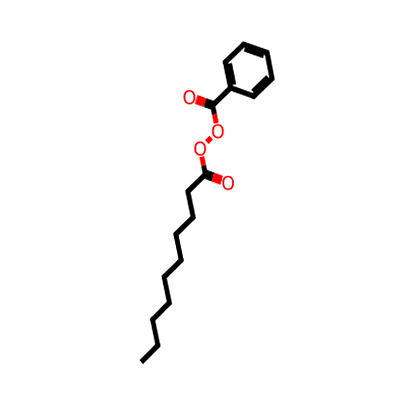 CCCCCCCCCC(=O)OOC(=O)c1ccccc1